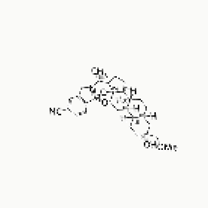 COC[C@@]1(O)CC[C@H]2[C@H](CC[C@@H]3[C@@H]2CC[C@]2(C)C([C@@H](C)N4Cc5cc(C#N)ccc5C4=O)CC[C@@H]32)C1